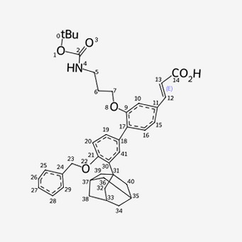 CC(C)(C)OC(=O)NCCCOc1cc(/C=C/C(=O)O)ccc1-c1ccc(OCc2ccccc2)c(C23CC4CC(CC(C4)C2)C3)c1